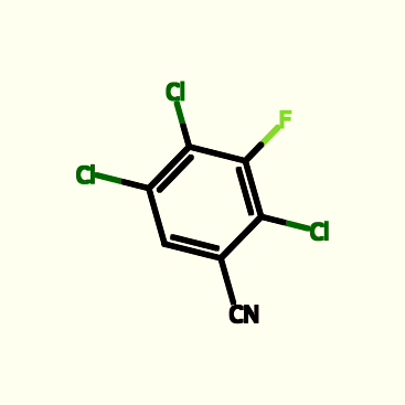 N#Cc1cc(Cl)c(Cl)c(F)c1Cl